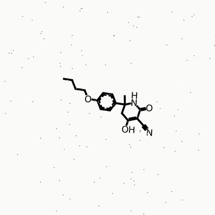 CCCCOc1ccc(C2(C)CC(O)=C(C#N)C(=O)N2)cc1